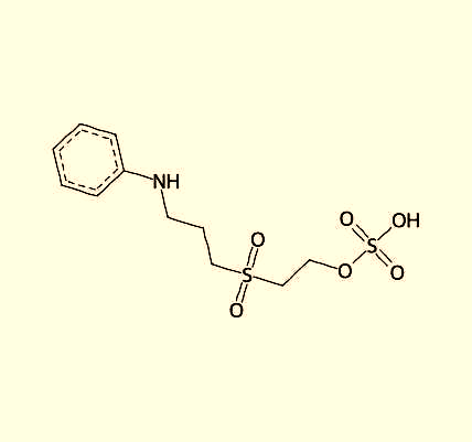 O=S(=O)(CCCNc1ccccc1)CCOS(=O)(=O)O